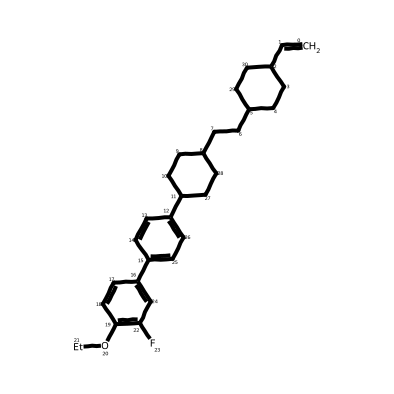 C=CC1CCC(CCC2CCC(c3ccc(-c4ccc(OCC)c(F)c4)cc3)CC2)CC1